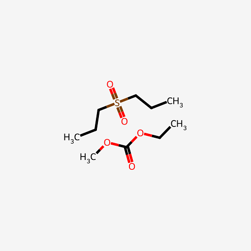 CCCS(=O)(=O)CCC.CCOC(=O)OC